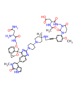 COc1ccc(C#CCNC2(C)CCN(C3CCN(c4nc(C(COCNC(=O)C(N)CC(N)=O)(OC5CC5)c5ccccc5)c5cc(-c6cn(C)c(=O)c7[nH]ccc67)ccc5n4)CC3)CC2)cc1N1CCC(=O)N(CNC(=O)C(CC(=O)O)NC(C)=O)C1=O